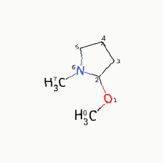 COC1C[CH]CN1C